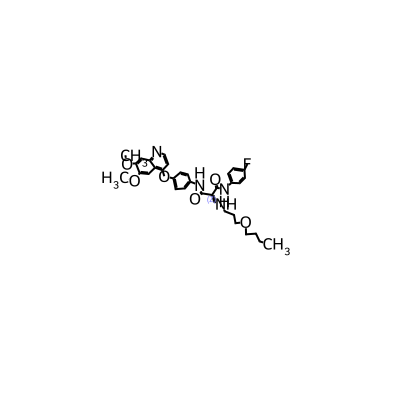 CCCCOCCCN/C=C(\C(=O)Nc1ccc(F)cc1)C(=O)Nc1ccc(Oc2ccnc3cc(OC)c(OC)cc23)cc1